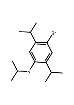 CC(C)Sc1cc(C(C)C)c(Br)cc1C(C)C